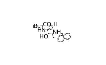 CCC(C)C(NC(=O)C(O)C(N)Cc1ccc2ccccc2c1)C(=O)O